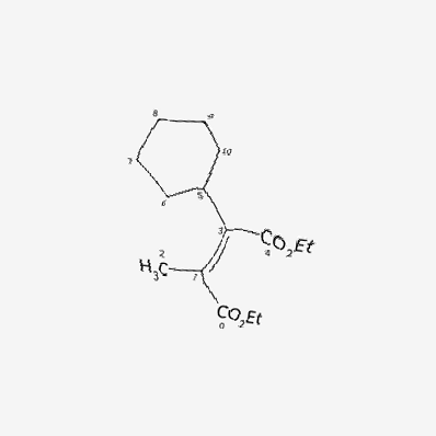 CCOC(=O)/C(C)=C(\C(=O)OCC)C1CCCCC1